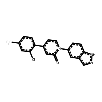 O=c1cc(-c2ccc(C(F)(F)F)cc2Cl)ccn1-c1ccc2[nH]ncc2c1